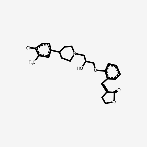 O=C1OCCC1=Cc1ccccc1OCC(O)CN1CCC(c2ccc(Cl)c(C(F)(F)F)c2)CC1